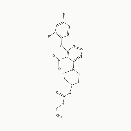 CCOC(=O)OC1CCN(c2ncnc(Oc3ccc(Br)cc3F)c2[N+](=O)[O-])CC1